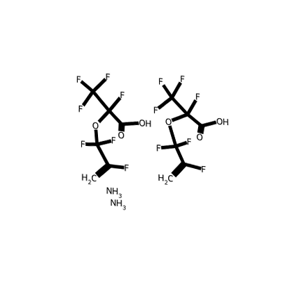 C=C(F)C(F)(F)OC(F)(C(=O)O)C(F)(F)F.C=C(F)C(F)(F)OC(F)(C(=O)O)C(F)(F)F.N.N